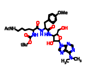 COc1ccc(CC(NC(=O)C(CCCCNC(C)=O)NC(=O)OC(C)(C)C)C(=O)NC2[C@@H](CO)O[C@@H](n3cnc4c(N(C)C)ncnc43)[C@H]2O)cc1